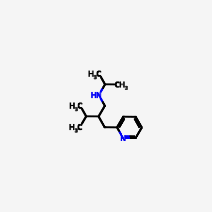 CC(C)NCC(Cc1ccccn1)C(C)C